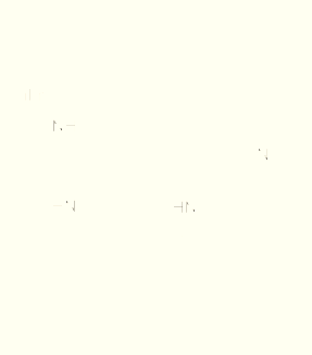 CC(C)NCCNC(C)CCC(C)NCCN(C)C